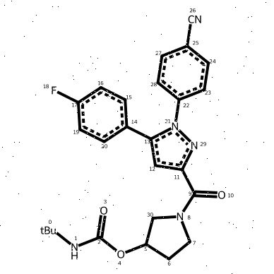 CC(C)(C)NC(=O)OC1CCN(C(=O)c2cc(-c3ccc(F)cc3)n(-c3ccc(C#N)cc3)n2)C1